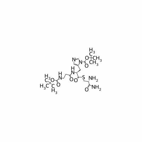 CC(C)(C)OC(=O)NCCC(=O)N[C@@H](Cc1cncn1C(=O)OC(C)(C)C)C(=O)SC[C@H](N)C(N)=O